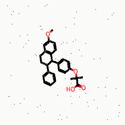 COc1ccc2c(c1)CCC(c1ccccc1)C2c1ccc(OC(C)(C)C(=O)O)cc1